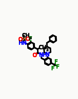 CC(C(=O)NCc1ccc(C(F)(F)F)cc1N1CCC(Cc2ccccc2)CC1)c1ccc(NS(C)(=O)=O)c(F)c1